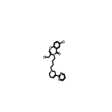 O=C1c2cc(Cl)ccc2OC=C(CCl)N1CCCCN1CCC=C(c2ncccn2)C1